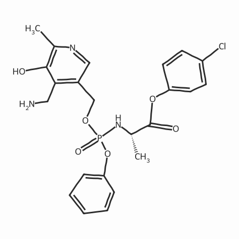 Cc1ncc(COP(=O)(N[C@@H](C)C(=O)Oc2ccc(Cl)cc2)Oc2ccccc2)c(CN)c1O